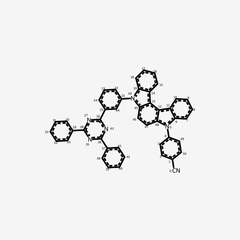 N#Cc1ccc(-n2c3ccccc3c3c4c5ccccc5n(-c5cccc(-c6nc(-c7ccccc7)nc(-c7ccccc7)n6)c5)c4ccc32)cc1